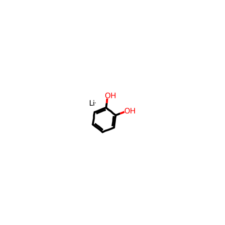 Oc1ccccc1O.[Li]